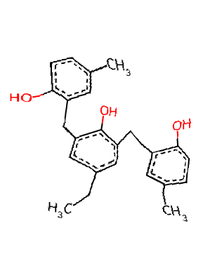 CCc1cc(Cc2cc(C)ccc2O)c(O)c(Cc2cc(C)ccc2O)c1